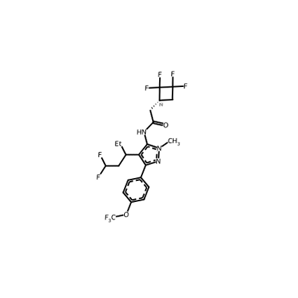 CCC(CC(F)F)c1c(-c2ccc(OC(F)(F)F)cc2)nn(C)c1NC(=O)C[C@H]1CC(F)(F)C1(F)F